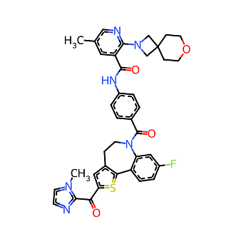 Cc1cnc(N2CC3(CCOCC3)C2)c(C(=O)Nc2ccc(C(=O)N3CCc4cc(C(=O)c5nccn5C)sc4-c4ccc(F)cc43)cc2)c1